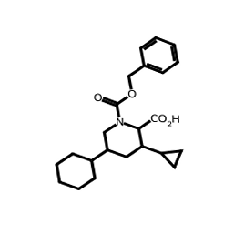 O=C(O)C1C(C2CC2)CC(C2CCCCC2)CN1C(=O)OCc1ccccc1